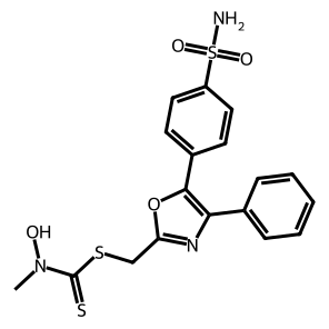 CN(O)C(=S)SCc1nc(-c2ccccc2)c(-c2ccc(S(N)(=O)=O)cc2)o1